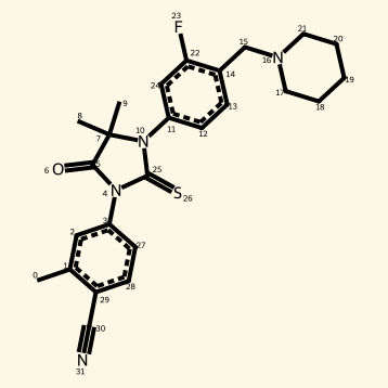 Cc1cc(N2C(=O)C(C)(C)N(c3ccc(CN4CCCCC4)c(F)c3)C2=S)ccc1C#N